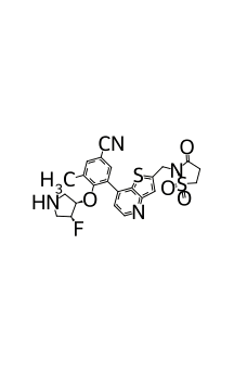 Cc1cc(C#N)cc(-c2ccnc3cc(CN4C(=O)CCS4(=O)=O)sc23)c1O[C@@H]1CNC[C@@H]1F